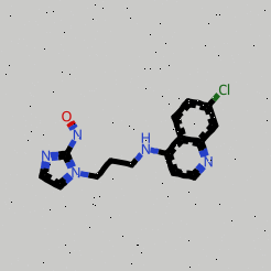 O=Nc1nccn1CCCNc1ccnc2cc(Cl)ccc12